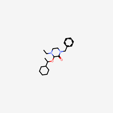 CCN1CCN(Cc2ccccc2)C(=O)C1OC(C)C1CCCCC1